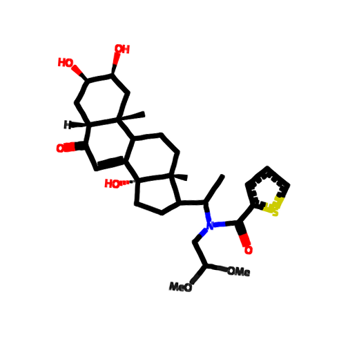 COC(CN(C(=O)c1cccs1)C(C)C1CC[C@@]2(O)C3=CC(=O)[C@@H]4C[C@@H](O)[C@@H](O)C[C@]4(C)C3CC[C@]12C)OC